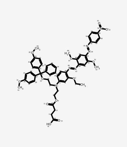 CCOc1cc(N(CCOC(=O)CCC(=O)O)CCOC(c2ccccc2)(c2ccc(OC)cc2)c2ccc(OC)cc2)ccc1N=Nc1cc(OC)c(N=Nc2ccc([N+](=O)[O-])cc2)cc1OC